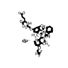 Cc1cc(OCC(=O)NC(CCC(=O)[O-])C(=O)[O-])cc(C)c1S(=O)(=O)n1c([S+]([O-])Cc2nccc(OCC(F)(F)F)c2C)nc2ccccc21.[Na+].[Na+]